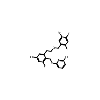 Fc1cc(I)c(COCCc2cc(Cl)cc(F)c2COc2cccc(Cl)n2)cc1Br